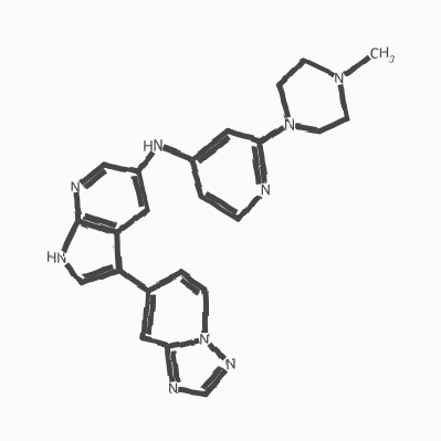 CN1CCN(c2cc(Nc3cnc4[nH]cc(-c5ccn6ncnc6c5)c4c3)ccn2)CC1